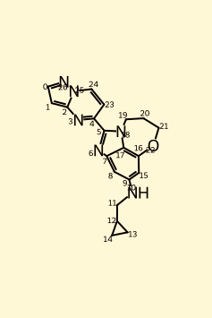 c1cc2nc(-c3nc4cc(NCC5CC5)cc5c4n3CCCO5)ccn2n1